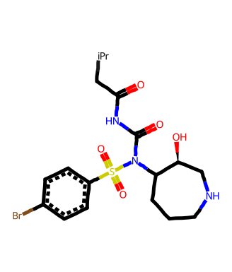 CC(C)CC(=O)NC(=O)N(C1CCCNC[C@@H]1O)S(=O)(=O)c1ccc(Br)cc1